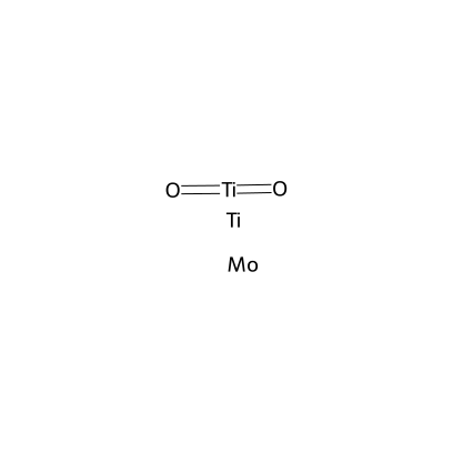 [Mo].[O]=[Ti]=[O].[Ti]